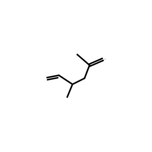 [CH]=C(C)CC(C)C=C